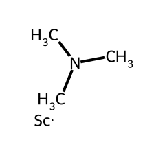 CN(C)C.[Sc]